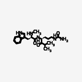 CN[C@@H](Cc1c[nH]c2ccccc12)C(=O)N[C@H](CCCNC(N)=O)C(=O)C(C)C